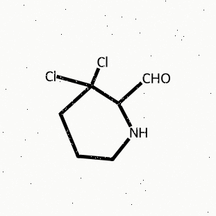 O=CC1NCCCC1(Cl)Cl